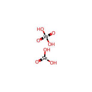 O=[Se](O)O.[O]=[W](=[O])([OH])[OH]